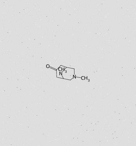 CN1CC2CC(=O)CC(C1)N2C